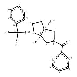 O=C(c1ncccn1)N1C[C@H]2C[C@H](c3ccccc3C(F)(F)F)C[C@H]2C1